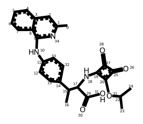 Cc1cc2ccccc2c(Nc2ccc(C(C)C(Nc3c(OC(C)C)c(=O)c3=O)C(=O)O)cc2)n1